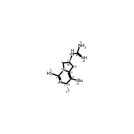 C[C@@H]1N=C(S)N2C[C@@H](NC(=N)N)CC2=C1C(C)(C)C